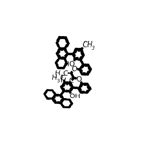 Cc1cc(-c2ccccc2OC(C)[C@@H](C)Oc2ccccc2-c2cc(C)cc(-c3c4c(cc5c3CCCC5)CCCC4)c2O)c(O)c(-c2c3c(cc4c2CCCC4)CCCC3)c1